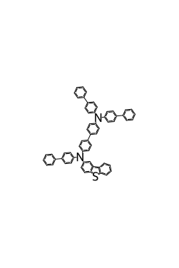 c1ccc(-c2ccc(N(c3ccc(-c4ccccc4)cc3)c3ccc(-c4ccc(N(c5ccc(-c6ccccc6)cc5)c5ccc6sc7ccccc7c6c5)cc4)cc3)cc2)cc1